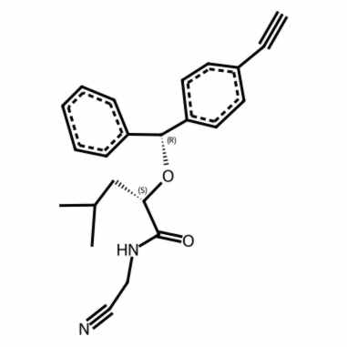 C#Cc1ccc([C@H](O[C@@H](CC(C)C)C(=O)NCC#N)c2ccccc2)cc1